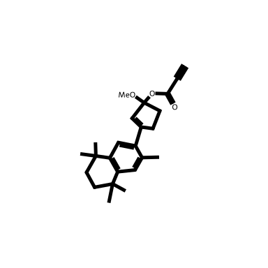 C#CC(=O)OC1(OC)C=C(c2cc3c(cc2C)C(C)(C)CCC3(C)C)CC1